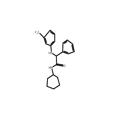 O=C(NC1CCCCC1)C(Nc1cccc(C(F)(F)F)c1)c1ccccc1